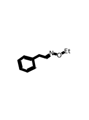 CCON=CCc1[c]cccc1